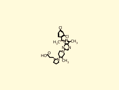 Cc1nn([C@H](C)c2ccc(Cl)cc2Cl)c2nc(N3CCC(N4CCC[C@H]4CCC(=O)O)[C@H](C)C3)cnc12